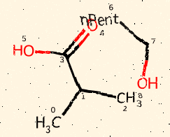 CC(C)C(=O)O.CCCCCCO